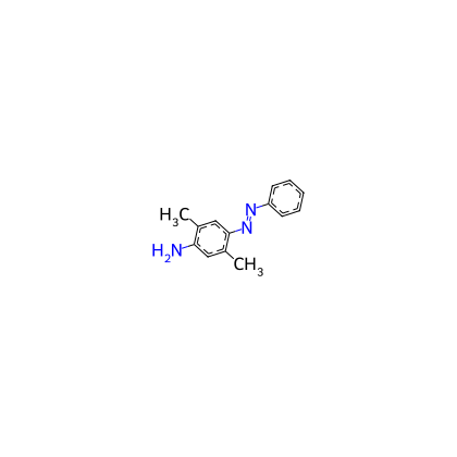 Cc1cc(/N=N/c2ccccc2)c(C)cc1N